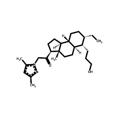 CC[C@H]1CC[C@@H]2[C@H](CC[C@]3(C)[C@@H](C(=O)Cn4nc(C)cc4C)CC[C@@H]23)[C@H]1CCCO